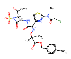 CNC(=O)[C@H]1[C@@H](NC(=O)/C(=N\OC(C)(C)C(=O)OCc2ccc([N+](=O)[O-])cc2)c2csc(NC(=O)CCl)n2)C(=O)N1S(=O)(=O)[O-].[Na+]